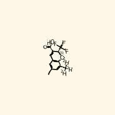 [2H]C([2H])([2H])c1cc(C)cc2c1O[C@H](C(F)(F)F)C(C(=O)O)=C2